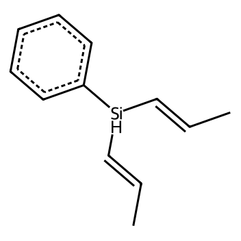 CC=C[SiH](C=CC)c1ccccc1